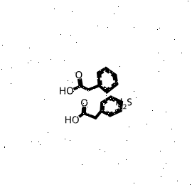 O=C(O)Cc1ccccc1.O=C(O)Cc1ccccc1.S